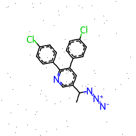 CC(N=[N+]=[N-])c1cnc(-c2ccc(Cl)cc2)c(-c2ccc(Cl)cc2)c1